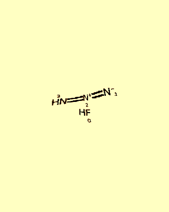 F.[N-]=[N+]=N